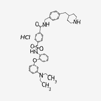 CCN(CC)c1cccc(Oc2ccccc2NS(=O)(=O)c2ccc(C(=O)NCc3ccc(CC4CCNCC4)cc3)cc2)c1.Cl